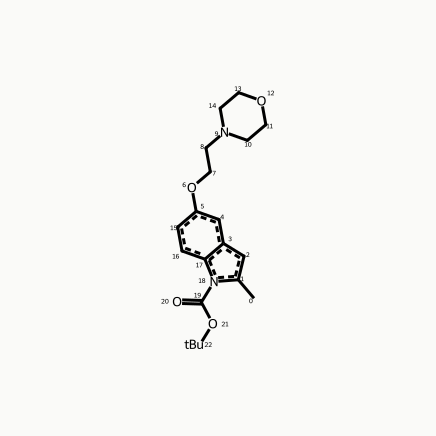 Cc1cc2cc(OCCN3CCOCC3)ccc2n1C(=O)OC(C)(C)C